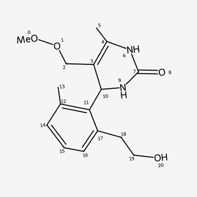 COOCC1=C(C)NC(=O)NC1c1c(C)cccc1CCO